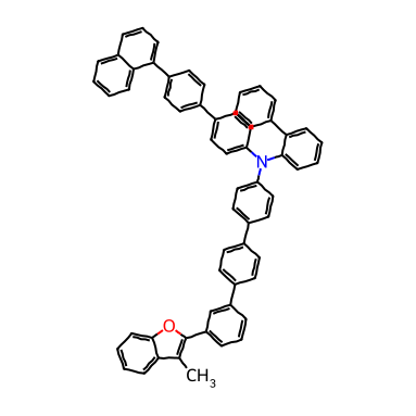 Cc1c(-c2cccc(-c3ccc(-c4ccc(N(c5ccc(-c6ccc(-c7cccc8ccccc78)cc6)cc5)c5ccccc5-c5ccccc5)cc4)cc3)c2)oc2ccccc12